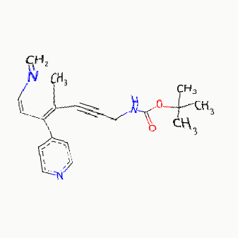 C=N/C=C\C(=C(/C)C#CCNC(=O)OC(C)(C)C)c1ccncc1